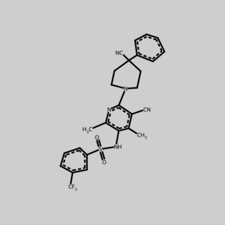 Cc1nc(N2CCC(C#N)(c3ccccc3)CC2)c(C#N)c(C)c1NS(=O)(=O)c1cccc(C(F)(F)F)c1